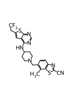 Cc1c(CN2CCC(Nc3ncnc4sc(CC(F)(F)F)cc34)CC2)ccc2nc(C#N)sc12